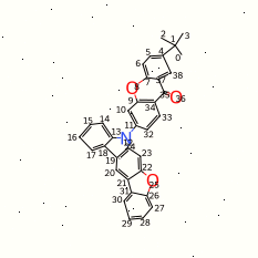 CC(C)(C)c1ccc2oc3cc(-n4c5ccccc5c5cc6c(cc54)oc4ccccc46)ccc3c(=O)c2c1